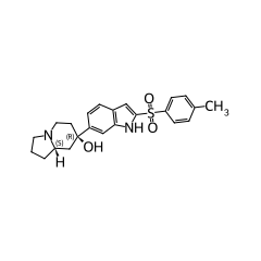 Cc1ccc(S(=O)(=O)c2cc3ccc([C@@]4(O)CCN5CCC[C@H]5C4)cc3[nH]2)cc1